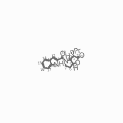 CCC[C@H]1C(=O)O[C@H]2CCN(C(=O)c3cc4ccccc4[nH]3)[C@@H]21